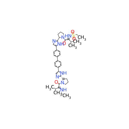 CCN[C@H](C(=O)N1CCC[C@H]1c1ncc(-c2ccc(-c3ccc(-c4cnc(C5CCCN5C(=O)[C@@H](NS(=O)(=O)CC)C(C)C)[nH]4)cc3)cc2)[nH]1)C(C)C